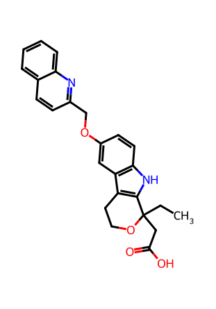 CCC1(CC(=O)O)OCCc2c1[nH]c1ccc(OCc3ccc4ccccc4n3)cc21